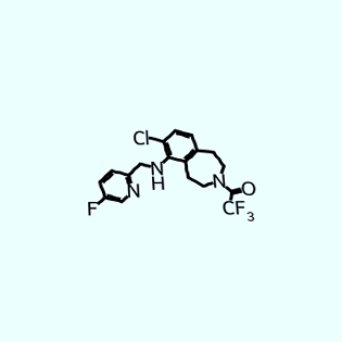 O=C(N1CCc2ccc(Cl)c(NCc3ccc(F)cn3)c2CC1)C(F)(F)F